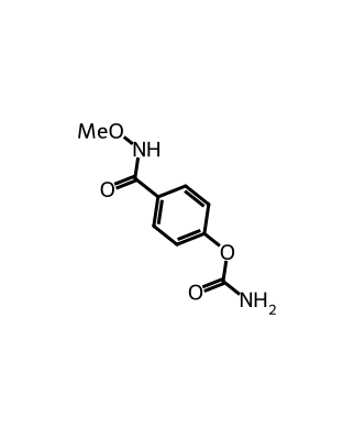 CONC(=O)c1ccc(OC(N)=O)cc1